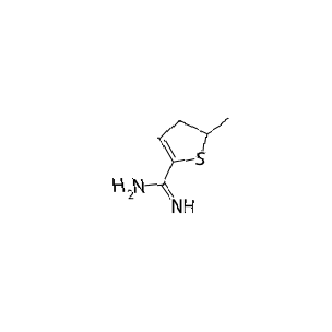 CC1CC=C(C(=N)N)S1